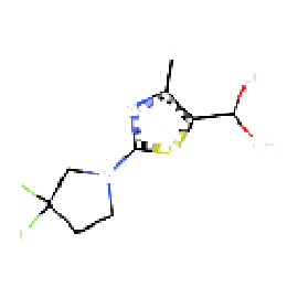 Cc1nc(N2CCC(F)(F)C2)sc1C(O)O